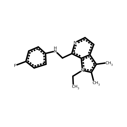 CCn1c(C)c(C)c2ccnc(CNc3ccc(F)cc3)c21